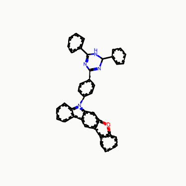 c1ccc(C2=NC(c3ccc(-n4c5ccccc5c5cc6c(cc54)oc4ccccc46)cc3)=NC(c3ccccc3)N2)cc1